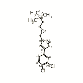 C[Si](C)(C)CCOCn1cc(-c2ccc(Cl)c(Cl)c2)cn1